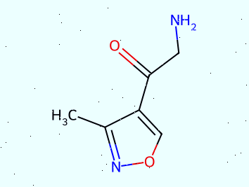 Cc1nocc1C(=O)CN